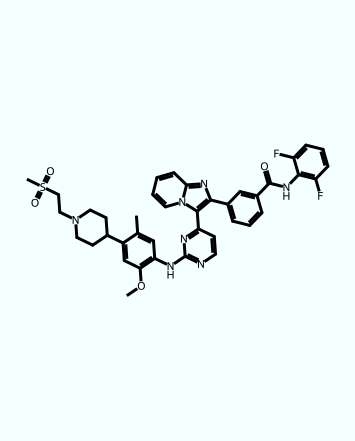 COc1cc(C2CCN(CCS(C)(=O)=O)CC2)c(C)cc1Nc1nccc(-c2c(-c3cccc(C(=O)Nc4c(F)cccc4F)c3)nc3ccccn23)n1